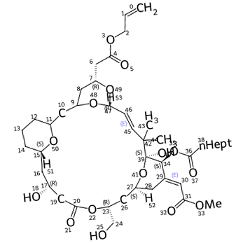 C=CCOC(=O)C[C@H]1CC2CC3CCC[C@@H](C[C@@H](O)CC(=O)O[C@@H](CO)C[C@@H]4C/C(=C\C(=O)OC)[C@H](OC(=O)CCCCCCC)[C@@](O)(O4)C(C)(C)/C=C/[C@H](O2)O1)O3